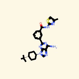 Cc1csc(NC(=O)c2cccc(-c3nc(N)c4ncn([C@H]5CC[C@@H](C(C)(C)C)CC5)c4n3)c2)n1